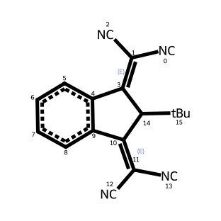 [C-]#[N+]/C(C#N)=C1/c2ccccc2/C(=C(\C#N)[N+]#[C-])C1C(C)(C)C